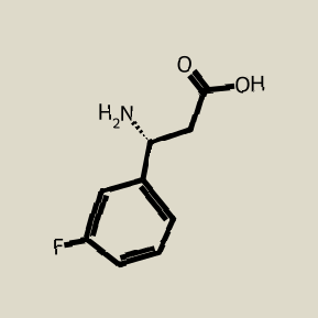 N[C@H](CC(=O)O)c1cccc(F)c1